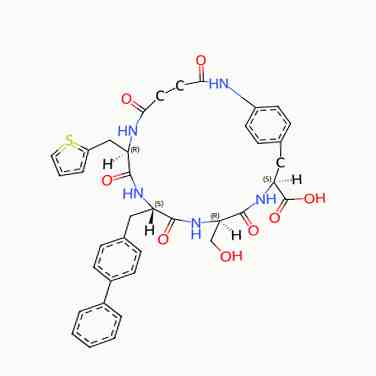 O=C1CCC(=O)N[C@H](Cc2cccs2)C(=O)N[C@@H](Cc2ccc(-c3ccccc3)cc2)C(=O)N[C@H](CO)C(=O)N[C@H](C(=O)O)Cc2ccc(cc2)N1